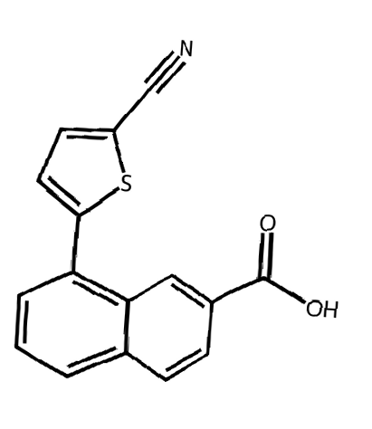 N#Cc1ccc(-c2cccc3ccc(C(=O)O)cc23)s1